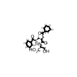 O=C(SC[C@@H](SC(=O)c1ccccc1)C(=O)N[C@@H](CO)C(=O)O)c1ccccc1